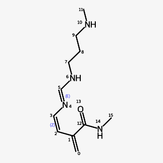 C=C(/C=C\N=C\NCCCNC)C(=O)NC